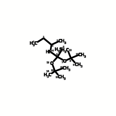 CCC(C)NC([SiH3])(OC(C)(C)C)OC(C)(C)C